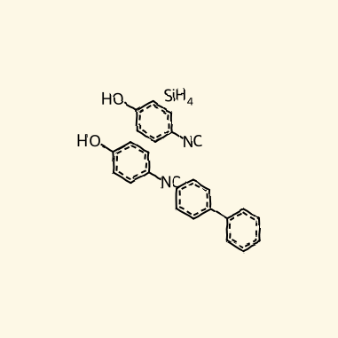 [C-]#[N+]c1ccc(O)cc1.[C-]#[N+]c1ccc(O)cc1.[SiH4].c1ccc(-c2ccccc2)cc1